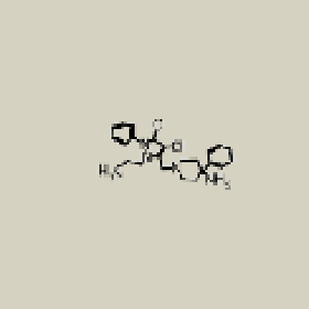 CCCn1c(CN2CCC(N)(c3ccccc3)CC2)c(Cl)c(=O)n1-c1ccccc1